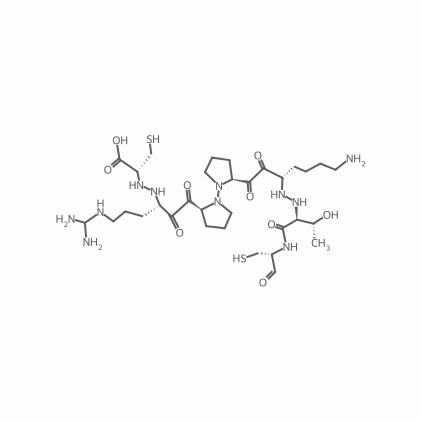 C[C@@H](O)[C@H](NN[C@@H](CCCCN)C(=O)C(=O)[C@@H]1CCCN1N1CCC[C@H]1C(=O)C(=O)[C@H](CCCNC(N)N)NN[C@@H](CS)C(=O)O)C(=O)N[C@H](C=O)CS